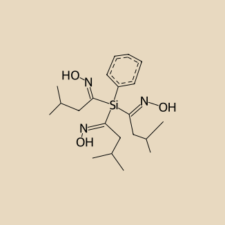 CC(C)CC(=NO)[Si](C(CC(C)C)=NO)(C(CC(C)C)=NO)c1ccccc1